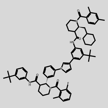 Cc1ccc(C(=O)N2CCCC(C(=O)Nc3cc(-c4ccn(-c5cccc([C@H]6C(C(=O)Nc7cccc(C(C)(C)C)c7)CCCN6C(=O)c6c(C)cccc6F)c5)c4)cc(C(C)(C)C)c3)[C@@H]2CC2CCCCC2)c(C)c1